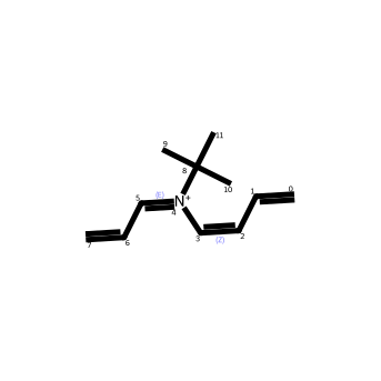 C=C/C=C\[N+](=C/C=C)C(C)(C)C